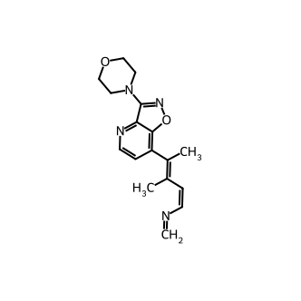 C=N/C=C\C(C)=C(/C)c1ccnc2c(N3CCOCC3)noc12